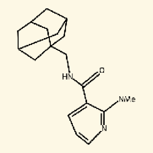 CNc1ncccc1C(=O)NCC12CC3CC(CC(C3)C1)C2